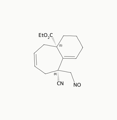 CCOC(=O)[C@@]12CC=CC[C@](C#N)(CN=O)C1=CCCC2